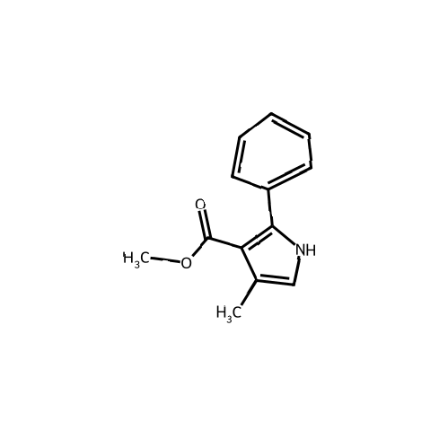 COC(=O)c1c(C)c[nH]c1-c1ccccc1